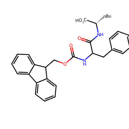 CCCC[C@H](NC(=O)C(Cc1ccccc1)NC(=O)OCC1c2ccccc2-c2ccccc21)C(=O)O